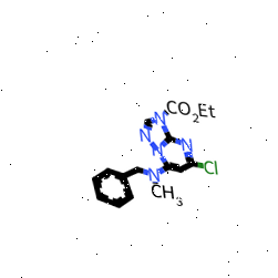 CCOC(=O)N1C=NN2C(N(C)Cc3ccccc3)=CC(Cl)=NC12